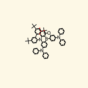 Cc1cc2c3c(c1)N(c1ccc(C(C)(C)C)cc1-c1cc(C(C)(C)C)cc(C(C)(C)C)c1)c1cc(N(c4ccccc4)c4ccccc4)ccc1B3c1ccc(N(c3ccccc3)c3ccccc3)cc1O2